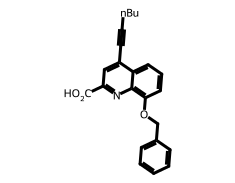 CCCCC#Cc1cc(C(=O)O)nc2c(OCc3ccccc3)cccc12